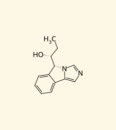 CC[C@@H](O)[C@H]1c2ccccc2-c2cncn21